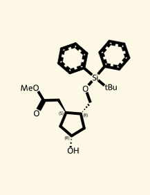 COC(=O)C[C@@H]1C[C@@H](O)C[C@H]1CO[Si](c1ccccc1)(c1ccccc1)C(C)(C)C